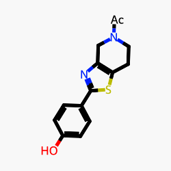 CC(=O)N1CCc2sc(-c3ccc(O)cc3)nc2C1